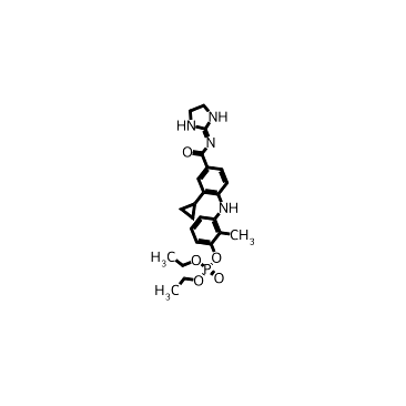 CCOP(=O)(OCC)Oc1cccc(Nc2ccc(C(=O)N=C3NCCN3)cc2C2CC2)c1C